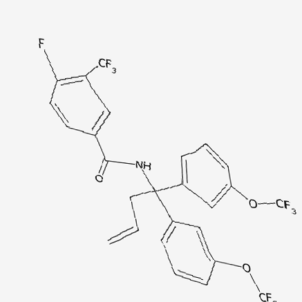 C=CCC(NC(=O)c1ccc(F)c(C(F)(F)F)c1)(c1cccc(OC(F)(F)F)c1)c1cccc(OC(F)(F)F)c1